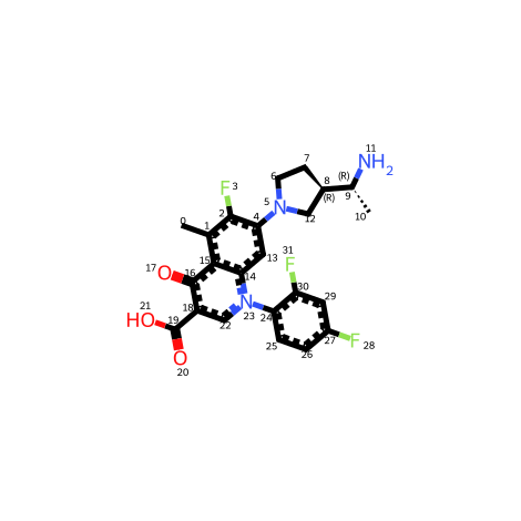 Cc1c(F)c(N2CC[C@@H]([C@@H](C)N)C2)cc2c1c(=O)c(C(=O)O)cn2-c1ccc(F)cc1F